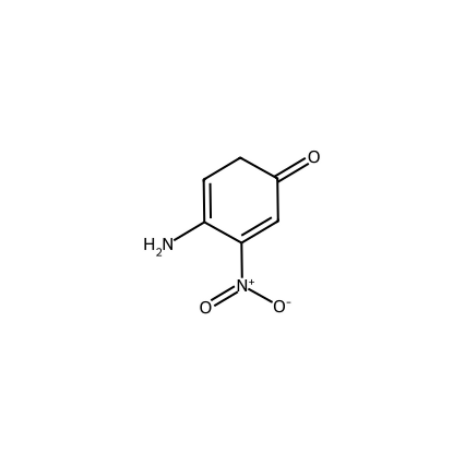 NC1=CCC(=O)C=C1[N+](=O)[O-]